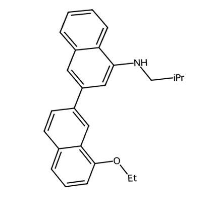 CCOc1cccc2ccc(-c3cc(NCC(C)C)c4ccccc4c3)cc12